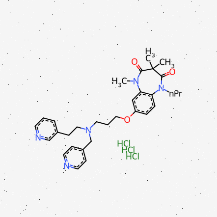 CCCN1C(=O)C(C)(C)C(=O)N(C)c2cc(OCCCN(CCc3cccnc3)Cc3ccncc3)ccc21.Cl.Cl.Cl